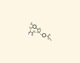 C/C=C(/C)C(=O)OC[C@H]1[C@@H](Cc2ccc(C(=O)OCC)cc2)CO[C@@H]1c1ccc(OC)c(OC)c1